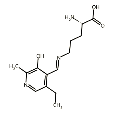 CCc1cnc(C)c(O)c1/C=N/CCC[C@H](N)C(=O)O